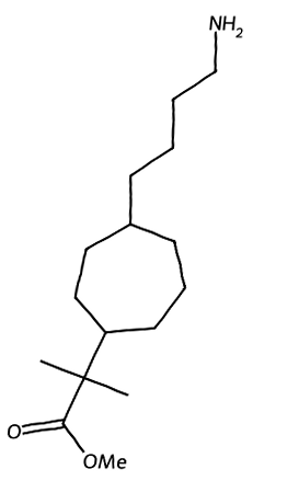 COC(=O)C(C)(C)C1CCCC(CCCCN)CC1